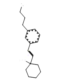 NCCCc1cccc(/C=C/C2(O)CCCCC2)c1